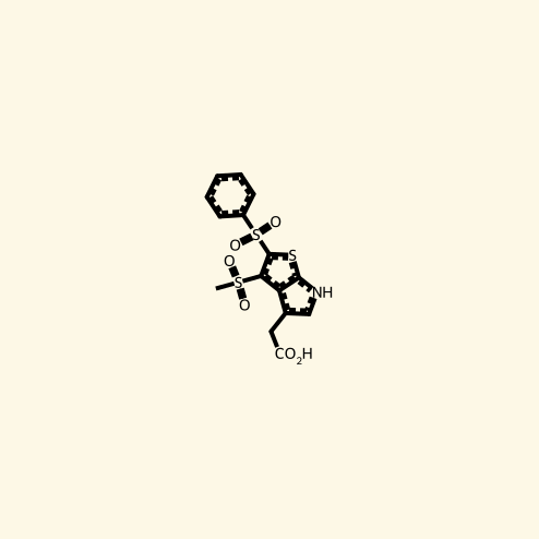 CS(=O)(=O)c1c(S(=O)(=O)c2ccccc2)sc2[nH]cc(CC(=O)O)c12